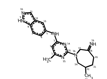 Cc1cc(Nc2ccc3[nH]ncc3c2)nc(N2CC(=N)CCC(C)C2)n1